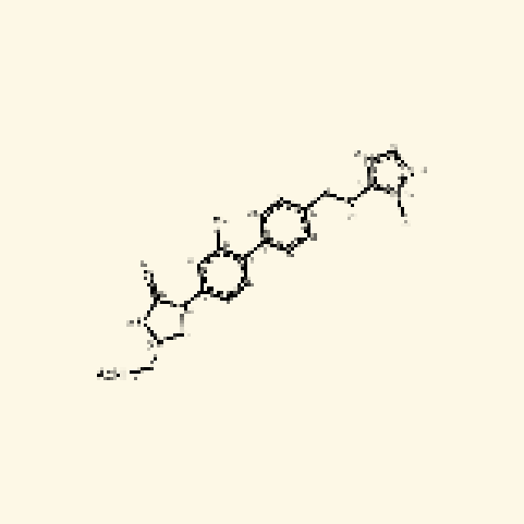 CC(=O)NC[C@H]1CN(c2ccc(-c3ccc(CSc4ncnn4C)cc3)c(F)c2)C(=O)O1